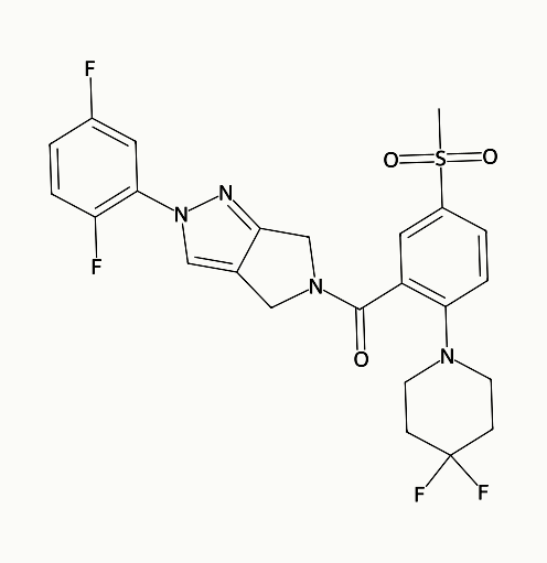 CS(=O)(=O)c1ccc(N2CCC(F)(F)CC2)c(C(=O)N2Cc3cn(-c4cc(F)ccc4F)nc3C2)c1